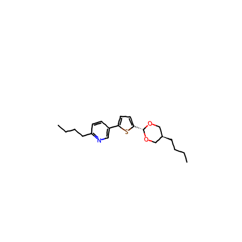 CCCCc1ccc(-c2ccc([C@H]3OC[C@H](CCCC)CO3)s2)cn1